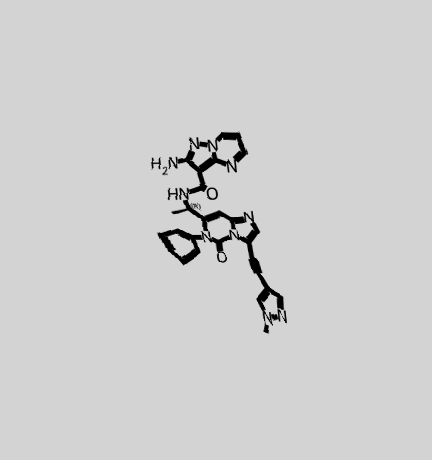 C[C@@H](NC(=O)c1c(N)nn2cccnc12)c1cc2ncc(C#Cc3cnn(C)c3)n2c(=O)n1-c1ccccc1